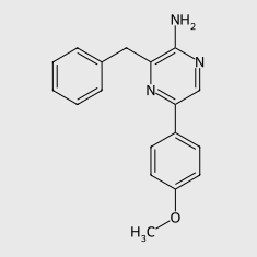 COc1ccc(-c2cnc(N)c(Cc3ccccc3)n2)cc1